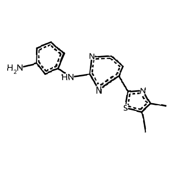 Cc1nc(-c2ccnc(Nc3cccc(N)c3)n2)sc1C